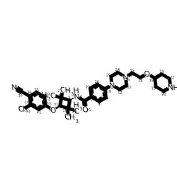 CC1(C)[C@H](NC(=O)c2ccc(N3CCN(CCOC4CCNCC4)CC3)cc2)C(C)(C)[C@H]1Oc1ccc(C#N)c(Cl)c1